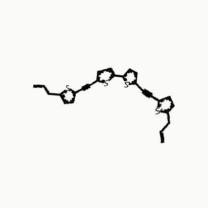 C=CCc1ccc(C#Cc2ccc(-c3ccc(C#Cc4ccc(CC=C)s4)s3)s2)s1